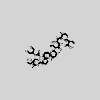 CCC(C(=O)[C@@H](C)[C@@H](O)[C@H](C)[C@@H]1O[C@@H]([C@@H](CC)C(=O)O)CC[C@@H]1C)[C@H]1O[C@]2(C=C[C@@H](NC(=O)OC(CCl)CCl)[C@]3(CC[C@@](C)([C@H]4CC[C@](O)(CC)[C@H](C)O4)O3)O2)[C@H](C)C[C@@H]1C